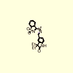 CCC1(CC)C(=O)Nc2ccc(/C=N/N(C)C3=NS(=O)(=O)c4ccccc43)cc21